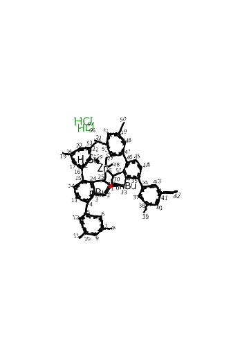 CCCCC1=Cc2c(-c3cc(C)cc(C)c3)ccc(-c3cc(C)cc(C)c3)c2[CH]1[Zr]([CH3])([CH3])(=[SiH2])[CH]1C(CCCC)=Cc2c(-c3cc(C)cc(C)c3)ccc(-c3cc(C)cc(C)c3)c21.Cl.Cl